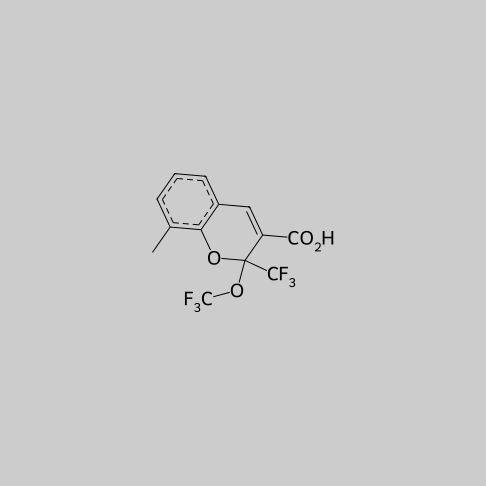 Cc1cccc2c1OC(OC(F)(F)F)(C(F)(F)F)C(C(=O)O)=C2